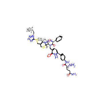 NC(=O)CC[C@H](N)C(=O)Nc1ccc(-c2ccc(CN(C(=O)C(N)c3ccccc3)C3C(=O)N4C(C(=O)O)=C(CSc5nnnn5CC(=O)O)CS[C@@H]34)c(=O)[nH]2)cc1